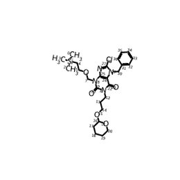 C[Si](C)(C)CCOCn1c(=O)n(CCCOC2CCCCO2)c(=O)c2c1nc(Cl)n2Cc1ccccc1